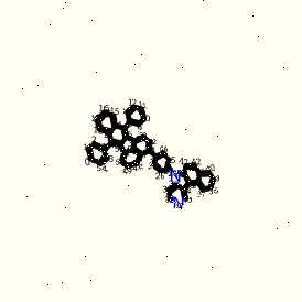 c1ccc(-c2c3c(c(-c4ccccc4)c4ccccc24)-c2ccc(-c4ccc(-n5c6ccncc6c6c7ccccc7ccc65)cc4)c4cccc-3c24)cc1